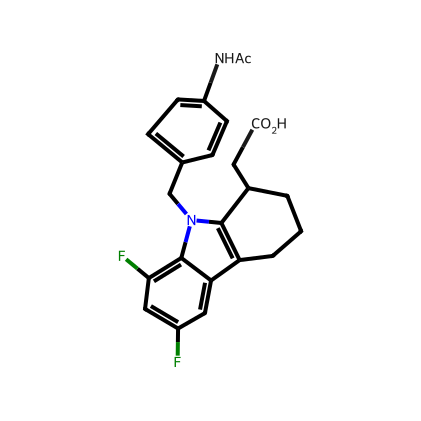 CC(=O)Nc1ccc(Cn2c3c(c4cc(F)cc(F)c42)CCCC3CC(=O)O)cc1